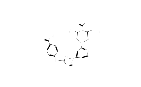 CC(=O)N1C(C)CN(c2cc(-n3cnc(Nc4ccc(C(N)=O)cc4)n3)ccn2)CC1C